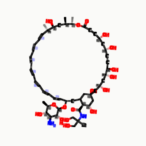 CCC(CO)(CO)NC(=O)[C@H]1C2CC(O[C@@H]3O[C@H](C)[C@@H](O)[C@H](N)[C@H]3O)/C=C/C=C/C=C/C=C/C=C/C=C/C=C/[C@H](C)[C@@H](O)C[C@@H](C)[C@H](C)OC(=O)CC[C@H](O)C[C@H](O)CC[C@@H](O)[C@H](O)C[C@H](O)C[C@@](O)(C2)C[C@@H]1O